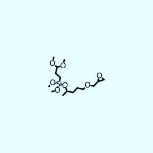 COC(CC[Si](OC)(OC)OC(C)CCCOCC1CO1)OC